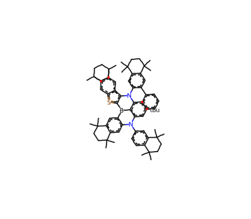 CC(C)(C)c1cc2c3c(c1)N(c1cc4c(cc1-c1ccccc1)C(C)(C)CCC4(C)C)c1c(sc4cc5c(cc14)C1(C)CCC5(C)CC1)B3c1cc3c(cc1N2c1ccc2c(c1)C(C)(C)CCC2(C)C)C(C)(C)CCC3(C)C